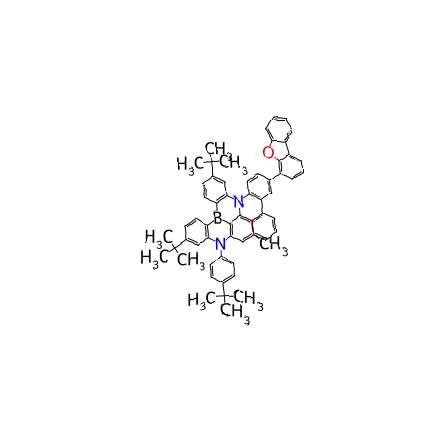 Cc1cc2c3c(c1)N(c1ccc(-c4cccc5c4oc4ccccc45)cc1-c1ccccc1)c1cc(C(C)(C)C)ccc1B3c1ccc(C(C)(C)C)cc1N2c1ccc(C(C)(C)C)cc1